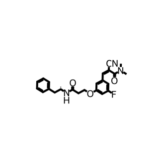 CN(C)C(=O)C(C#N)=Cc1cc(F)cc(OCCC(=O)N[CH]Cc2ccccc2)c1